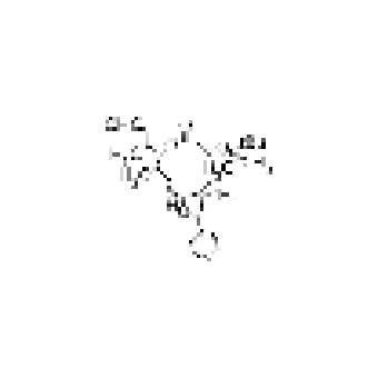 C/C(=C\C=O)[C@H]1OC(=O)C[C@H](O[Si](C)(C)C(C)(C)C)CC[C@@]2(C)O[C@@H](c3ccccc3)O[C@H]2/C=C/[C@@H]1C